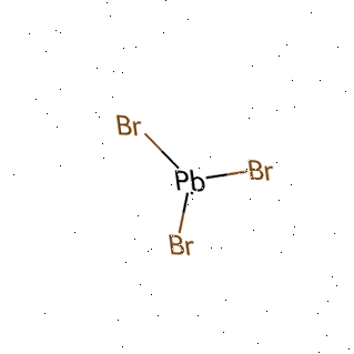 [Br][Pb]([Br])[Br]